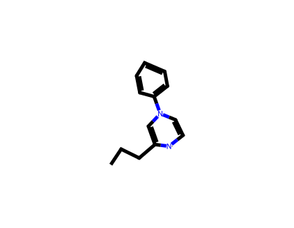 CCCC1=CN(c2ccccc2)C=C[N]1